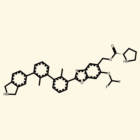 Cc1c(-c2ccc3c(c2)CNC3)cccc1-c1cccc(-c2nc3cc(COC(=O)[C@@H]4CCCN4)c(OC(F)F)cc3o2)c1C